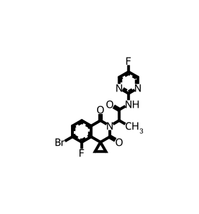 CC(C(=O)Nc1ncc(F)cn1)N1C(=O)c2ccc(Br)c(F)c2C2(CC2)C1=O